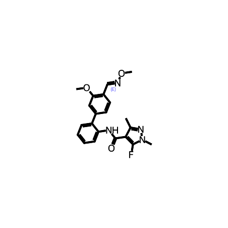 CO/N=C/c1ccc(-c2ccccc2NC(=O)c2c(C)nn(C)c2F)cc1OC